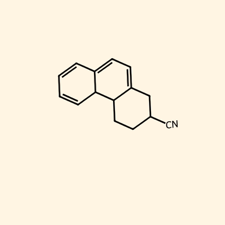 N#CC1CCC2C(=CC=C3C=CC=CC32)C1